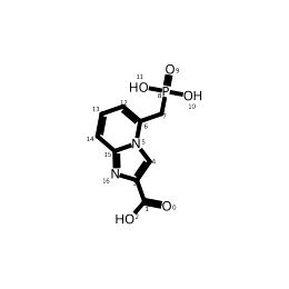 O=C(O)c1cn2c(CP(=O)(O)O)cccc2n1